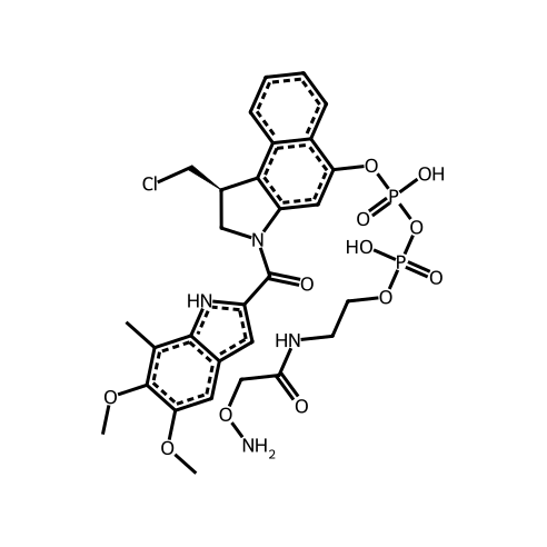 COc1cc2cc(C(=O)N3C[C@@H](CCl)c4c3cc(OP(=O)(O)OP(=O)(O)OCCNC(=O)CON)c3ccccc43)[nH]c2c(C)c1OC